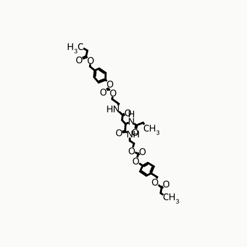 CCC(=O)NC(CC(=O)NCCOC(=O)Oc1ccc(COC(=O)CC)cc1)C(=O)NCCOC(=O)Oc1ccc(COC(=O)CC)cc1